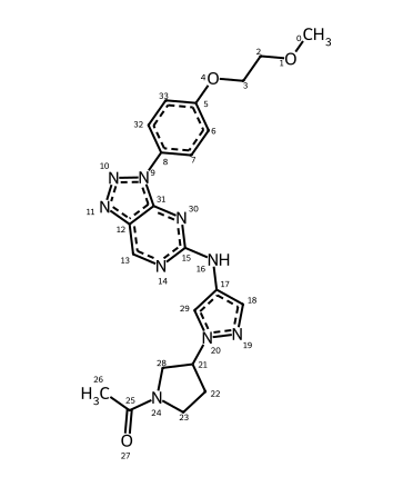 COCCOc1ccc(-n2nnc3cnc(Nc4cnn(C5CCN(C(C)=O)C5)c4)nc32)cc1